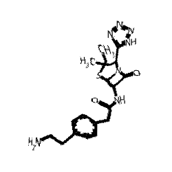 CC1(C)SC2C(NC(=O)Cc3ccc(CCN)cc3)C(=O)N2C1c1nnn[nH]1